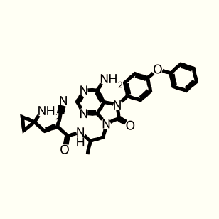 CC(Cn1c(=O)n(-c2ccc(Oc3ccccc3)cc2)c2c(N)ncnc21)NC(=O)C(C#N)=CC1(N)CC1